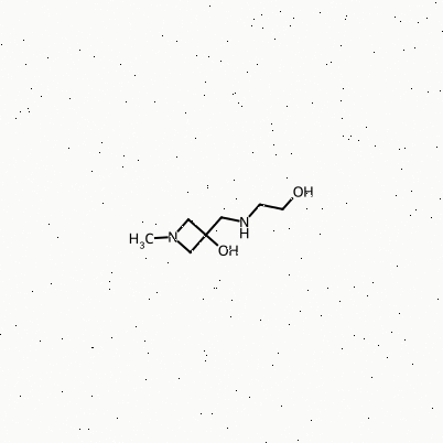 CN1CC(O)(CNCCO)C1